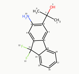 CC(C)(O)c1cc2c(cc1N)C(F)(F)c1ccccc1-2